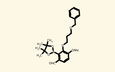 COc1ccc(C=O)c(B2OC(C)(C)C(C)(C)O2)c1OCCCOCc1ccccc1